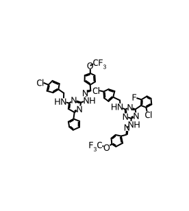 FC(F)(F)Oc1ccc(C=NNc2nc(NCc3ccc(Cl)cc3)cc(-c3ccccc3)n2)cc1.Fc1cccc(Cl)c1-c1nc(NCc2ccc(Cl)cc2)nc(NN=Cc2ccc(OC(F)(F)F)cc2)n1